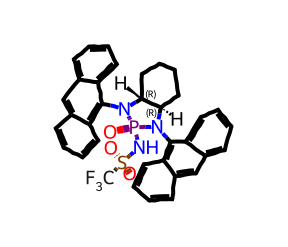 O=P1(NS(=O)(=O)C(F)(F)F)N(c2c3ccccc3cc3ccccc23)[C@@H]2CCCC[C@H]2N1c1c2ccccc2cc2ccccc12